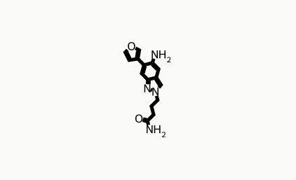 NC(=O)CCCn1cc2cc(N)c(-c3ccoc3)cc2n1